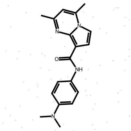 Cc1cc(C)n2ccc(C(=O)Nc3ccc(N(C)C)cc3)c2n1